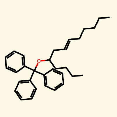 [CH2]CCCCC=CCC(CCCC)OC(c1ccccc1)(c1ccccc1)c1ccccc1